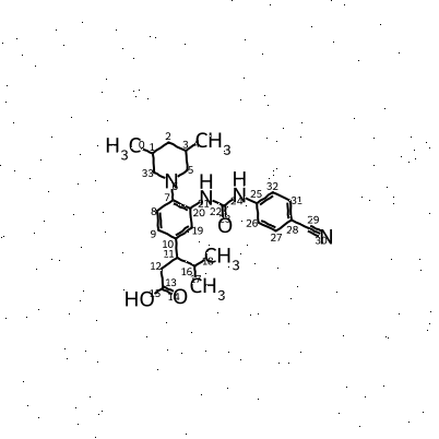 CC1CC(C)CN(c2ccc(C(CC(=O)O)C(C)C)cc2NC(=O)Nc2ccc(C#N)cc2)C1